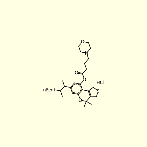 CCCCCC(C)C(C)c1cc(OC(=O)CCCN2CCOCC2)c2c(c1)OC(C)(C)C1=C2CSC1.Cl